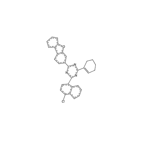 Clc1ccc(-c2nc(C3=CCCCC3)nc(-c3ccc4c(c3)oc3ccccc34)n2)c2ccccc12